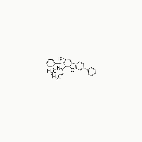 C=CC1=NC(c2ccccc2C)(C(C)C)c2ccc3c(oc4cc(-c5ccccc5)ccc43)c21